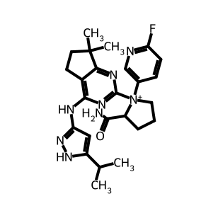 CC(C)c1cc(Nc2nc([N+]3(c4ccc(F)nc4)CCCC3C(N)=O)nc3c2CCC3(C)C)n[nH]1